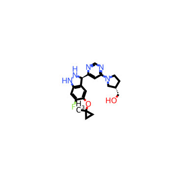 CC1(Oc2cc3c(cc2F)NN[C@H]3c2cc(N3CC[C@H](CO)C3)ncn2)CC1